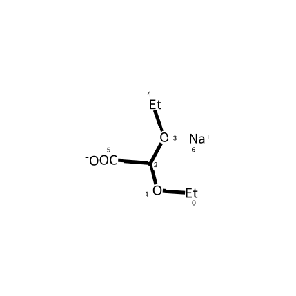 CCOC(OCC)C(=O)[O-].[Na+]